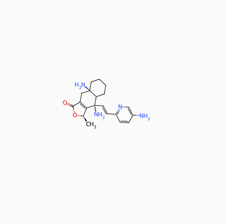 C[C@H]1OC(=O)C2=C1[C@@](N)(/C=C/c1ccc(N)cn1)C1CCCC[C@@]1(N)C2